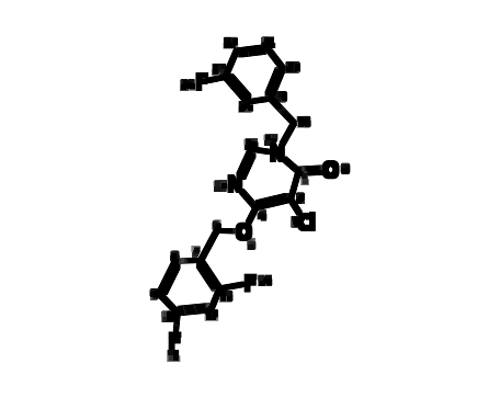 O=c1c(Cl)c(OCc2ccc(F)cc2F)ncn1Cc1cccc(F)c1